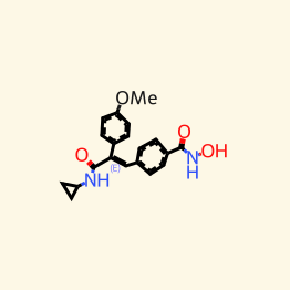 COc1ccc(/C(=C\c2ccc(C(=O)NO)cc2)C(=O)NC2CC2)cc1